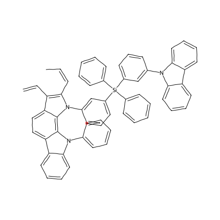 C=Cc1c(/C=C\C)n(-c2cccc([Si](c3ccccc3)(c3ccccc3)c3cccc(-n4c5ccccc5c5ccccc54)c3)c2)c2c1ccc1c3ccccc3n(-c3ccccc3)c12